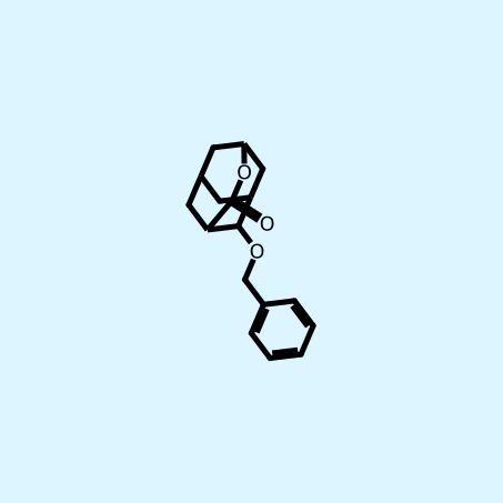 O=C1OC2CC3CC(C2)C(OCc2ccccc2)C1C3